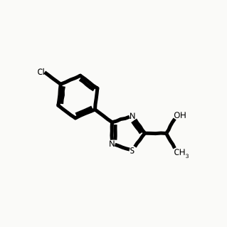 CC(O)c1nc(-c2ccc(Cl)cc2)ns1